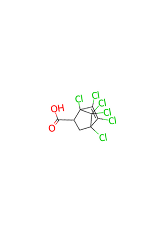 O=C(O)C1CC2(Cl)C(Cl)=C(Cl)C1(Cl)C2(Cl)Cl